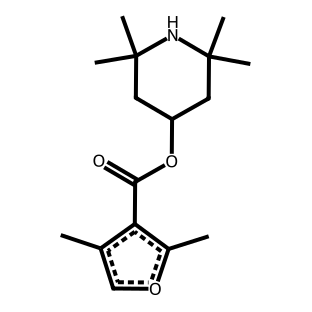 Cc1coc(C)c1C(=O)OC1CC(C)(C)NC(C)(C)C1